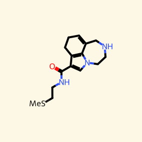 CSCCNC(=O)c1cn2c3c1CCC=C3CNCC2